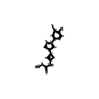 CC(C)(C)OC(=O)NC12CC(c3cnn(-c4ccc(Cl)c(F)c4)c3)(C1)C2